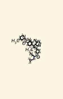 Cc1ccnc(NC(=O)c2ccc(-c3c(C)n([C@@H]4CCN(C(=O)/C(C#N)=C/C5CC5)C4)c4ncnc(N)c34)cc2)c1